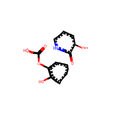 O=C(O)Oc1ccccc1O.O=c1[nH]cccc1O